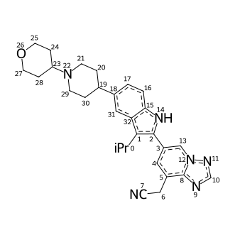 CC(C)c1c(-c2cc(CC#N)c3ncnn3c2)[nH]c2ccc(C3CCN(C4CCOCC4)CC3)cc12